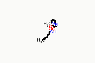 CCCCCCCNC(=O)Oc1cnc2cccc(C)n2c1=O